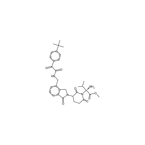 COC(=O)[C@@](N)(C(C)C)N1C(=O)CCC(N2Cc3c(CNC(=O)C(=O)c4ccc(C(C)(C)C)cc4)cccc3C2=O)C1=O